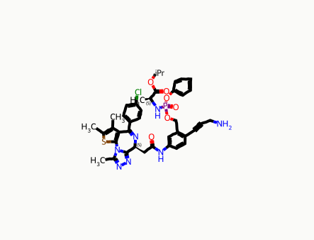 Cc1sc2c(c1C)C(c1ccc(Cl)cc1)=N[C@@H](CC(=O)Nc1ccc(C#CCN)c(COP(=O)(N[C@@H](C)C(=O)OC(C)C)Oc3ccccc3)c1)c1nnc(C)n1-2